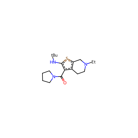 CCN1CCc2c(sc(NC(C)(C)C)c2C(=O)N2CCCC2)C1